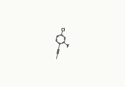 CC#Cc1ccc(Cl)cc1F